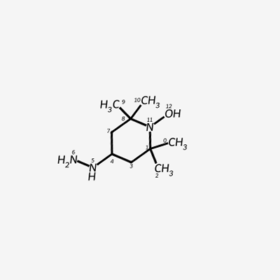 CC1(C)CC(NN)CC(C)(C)N1O